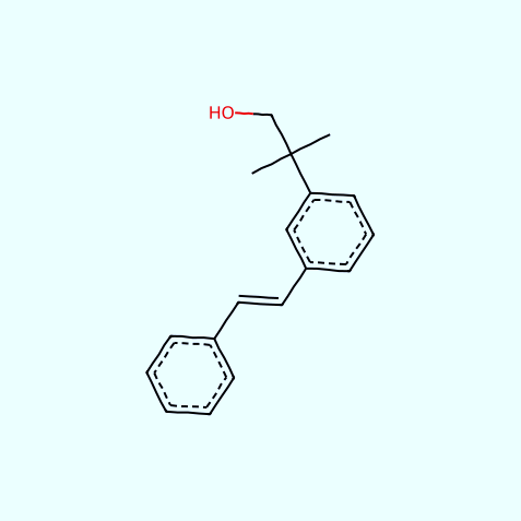 CC(C)(CO)c1cccc(C=Cc2ccccc2)c1